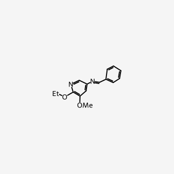 CCOc1ncc(N=Cc2ccccc2)cc1OC